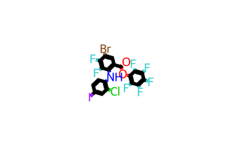 O=C(Oc1c(F)c(F)c(F)c(F)c1F)c1cc(Br)c(F)c(F)c1Nc1ccc(I)cc1Cl